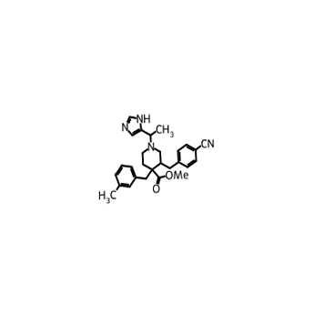 COC(=O)C1(Cc2cccc(C)c2)CCN(C(C)c2cnc[nH]2)CC1Cc1ccc(C#N)cc1